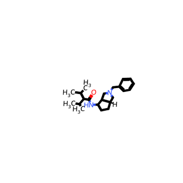 CC(C)C(C(=O)NC1CC[C@H]2CN(Cc3ccccc3)CC12)C(C)C